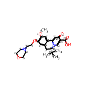 COc1cc2c(cc1OCCN1CCOCC1)C[C@H](C(C)(C)C)n1cc(C(=O)O)c(=O)cc1-2